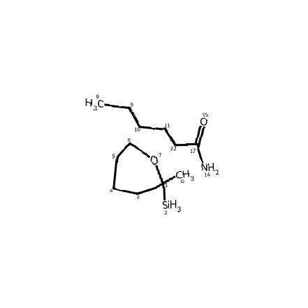 CC1([SiH3])CCCCO1.CCCCCC(N)=O